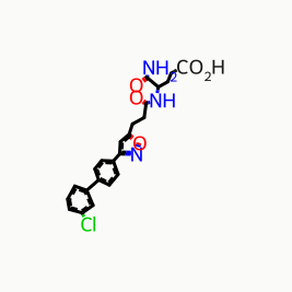 NC(=O)C(CCC(=O)O)NC(=O)CCc1cc(-c2ccc(-c3cccc(Cl)c3)cc2)no1